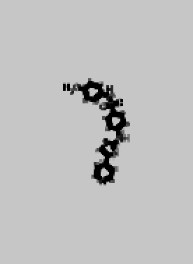 Cc1ccc(NS(=O)(=O)c2ccc(Nc3nc(-c4ccncc4)cs3)cc2)cc1